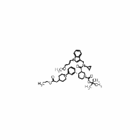 CCOC(=O)CC1CCN(c2cccc([C@H]3CCN(C(=O)OC(C)(C)C)C[C@@H]3C(=O)N(Cc3cn(CCCOC)c4ccccc34)C3CC3)c2)CC1